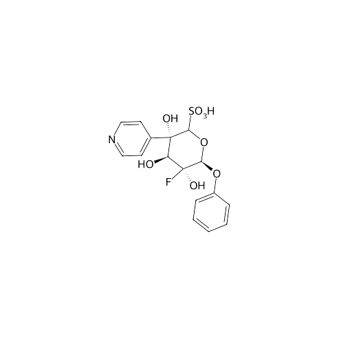 O=S(=O)(O)C1O[C@@H](Oc2ccccc2)[C@@](O)(F)[C@@H](O)[C@@]1(O)c1ccncc1